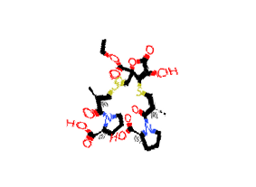 CCOC(=O)C1(CSC[C@H](C)C(=O)N2CCC[C@H]2C(=O)O)OC(=O)C(O)=C1SC[C@H](C)C(=O)N1CCC[C@H]1C(=O)O